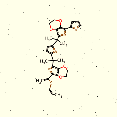 C=C(S/C=C\C)c1sc(C(C)(C)c2ccc(C(C)(C)c3sc(-c4cccs4)c4c3OCCO4)s2)c2c1OCCO2